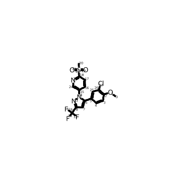 COc1ccc(-c2cc(C(F)(F)F)nn2-c2ccc(S(C)(=O)=O)nc2)cc1Cl